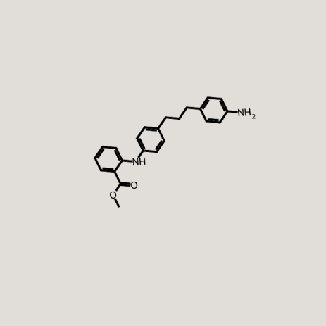 COC(=O)c1ccccc1Nc1ccc(CCCc2ccc(N)cc2)cc1